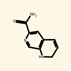 NC(=O)c1cc2c(cn1)NCC=C2